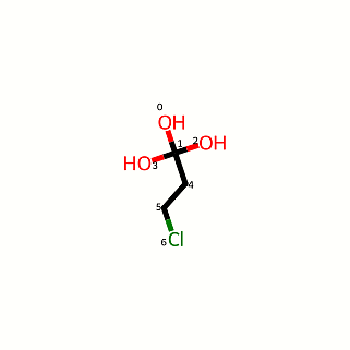 OC(O)(O)CCCl